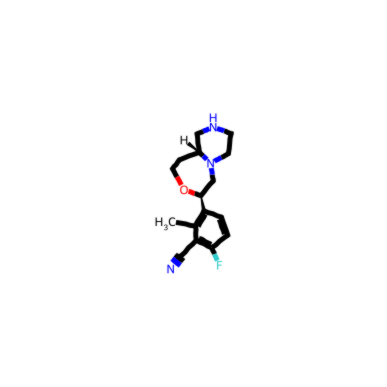 Cc1c([C@@H]2CN3CCNC[C@H]3CCO2)ccc(F)c1C#N